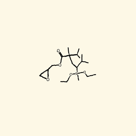 CCO[Si](C)(OCC)C(CC(C)(C(=O)OCC1CO1)C(C)C)C(C)C